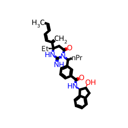 C=C(/C=C\C=C/C)[C@]1(CC)CC(=O)N(C(CCC)c2cccc(C(=O)N[C@@H]3c4ccccc4C[C@H]3O)c2)C(=N)N1